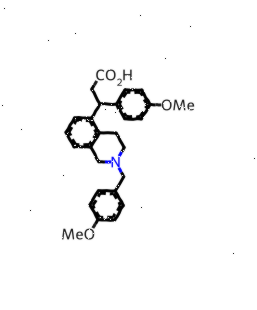 COc1ccc(CN2CCc3c(cccc3C(CC(=O)O)c3ccc(OC)cc3)C2)cc1